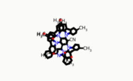 Cc1ccc2c(c1)c1cc(C)ccc1n2-c1c(C#N)c(-n2c3ccc(C)cc3c3cc(C)ccc32)c(-n2c3ccc(C)cc3c3cc(C)ccc32)c(-n2c3ccc(C)cc3c3cc(C)ccc32)c1-c1cc(-c2ccccc2)nc(-c2ccccc2)n1